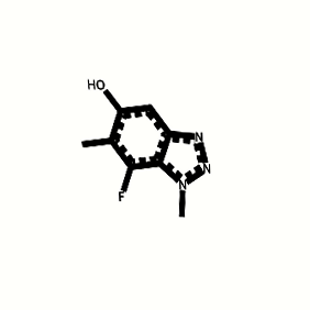 Cc1c(O)cc2nnn(C)c2c1F